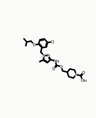 Cc1cc(NC(=O)OCC2CCN(C(=O)O)CC2)nn1Cc1cc(Cl)ccc1OCC(C)C